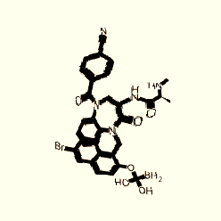 BC(O)(O)Oc1ccc2cc(Br)ccc2c1CN1C(=O)C(NC(=O)[C@H](C)NC)CN(C(=O)c2ccc(C#N)cc2)c2ccccc21